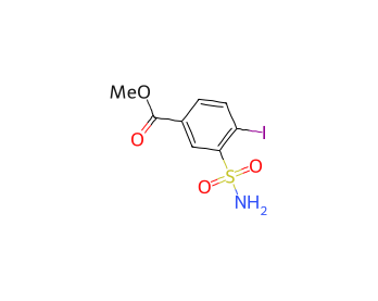 COC(=O)c1ccc(I)c(S(N)(=O)=O)c1